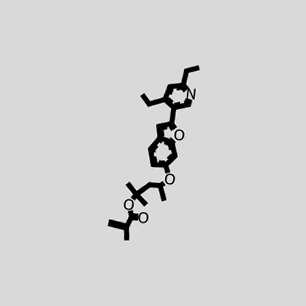 C=C(C)C(=O)OC(C)(C)CC(C)Oc1ccc2cc(-c3cnc(CC)cc3CC)oc2c1